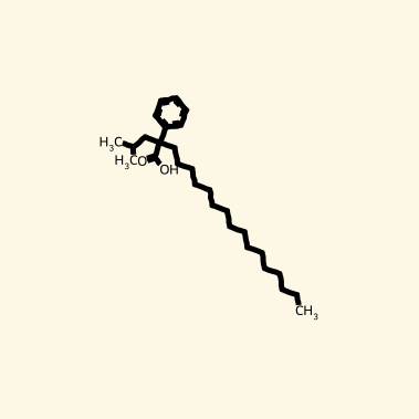 CCCCCCCCCCCCCCCCC(CC(C)C)(C(=O)O)c1ccccc1